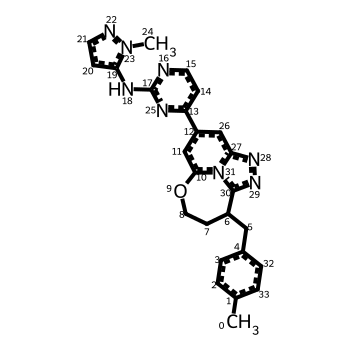 Cc1ccc(CC2CCOc3cc(-c4ccnc(Nc5ccnn5C)n4)cc4nnc2n34)cc1